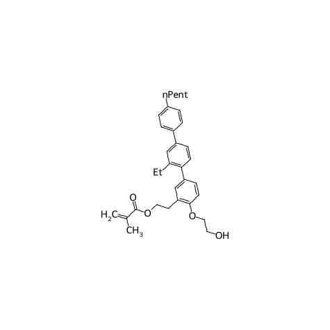 C=C(C)C(=O)OCCc1cc(-c2ccc(-c3ccc(CCCCC)cc3)cc2CC)ccc1OCCO